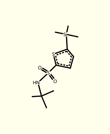 CC(C)(C)NS(=O)(=O)c1ccc([Si](C)(C)C)s1